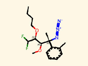 CCCCO[C@H](C(F)F)[C@H](OC)[C@](C)(N=[N+]=[N-])c1ccccc1C